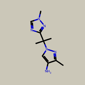 Cc1nn(C(C)(C)c2ncn(C)n2)cc1N